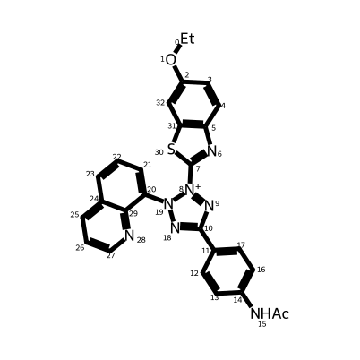 CCOc1ccc2nc(-[n+]3nc(-c4ccc(NC(C)=O)cc4)nn3-c3cccc4cccnc34)sc2c1